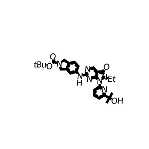 CCn1c(=O)c2cnc(Nc3ccc4c(c3)CN(C(=O)OC(C)(C)C)C4)nc2n1-c1cccc(C(C)(C)O)n1